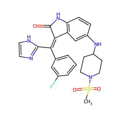 CS(=O)(=O)N1CCC(Nc2ccc3c(c2)/C(=C(\c2cccc(F)c2)c2ncc[nH]2)C(=O)N3)CC1